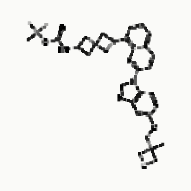 CC1(COc2ccc3c(c2)ncn3-c2ccc3cccc(N4CC5(CC(NC(=O)OC(C)(C)C)C5)C4)c3n2)COC1